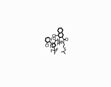 CC(C)SCCNC(=O)c1cc2ccccc2c(Cl)c1NC(=O)c1cc(C(F)(F)F)nn1-c1ncccc1Cl